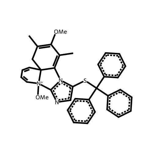 COC1=C(C)CC23C=CC=C[N+]2(OC)c2ncc(SC(c4ccccc4)(c4ccccc4)c4ccccc4)n2C3=C1C